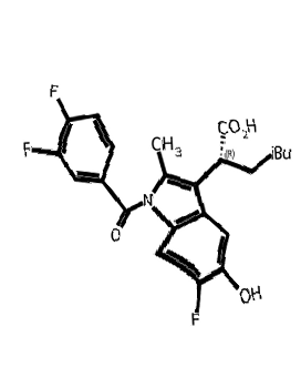 CCC(C)C[C@@H](C(=O)O)c1c(C)n(C(=O)c2ccc(F)c(F)c2)c2cc(F)c(O)cc12